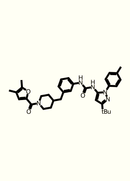 Cc1ccc(-n2nc(C(C)(C)C)cc2NC(=O)Nc2cccc(CC3CCN(C(=O)c4cc(C)c(C)o4)CC3)c2)cc1